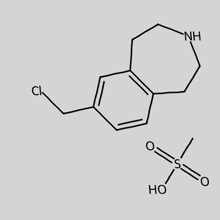 CS(=O)(=O)O.ClCc1ccc2c(c1)CCNCC2